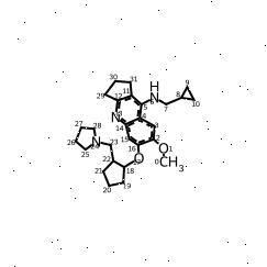 COc1cc2c(NCC3CC3)c3c(nc2cc1OC1CCCC1CN1CCCC1)CCC3